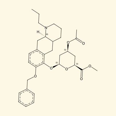 CCCN1CCCC2Cc3c(ccc(OCc4ccccc4)c3O[C@H]3C[C@@H](OC(C)=O)C[C@@H](C(=O)OC)O3)C[C@H]21